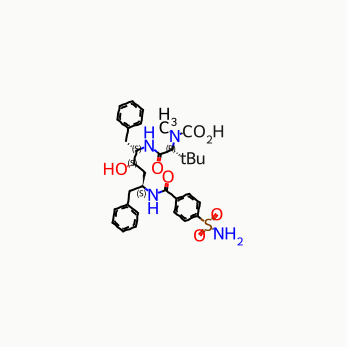 CN(C(=O)O)[C@@H](C(=O)N[C@@H](Cc1ccccc1)[C@@H](O)C[C@H](Cc1ccccc1)NC(=O)c1ccc(S(N)(=O)=O)cc1)C(C)(C)C